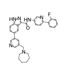 O=C(Nc1ccc(-c2ccccc2F)nc1)c1n[nH]c2ccc(-c3cncc(CN4CCCCCC4)c3)cc12